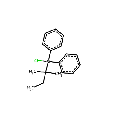 CCC(C)(C)[Si](Cl)(c1ccccc1)c1ccccc1